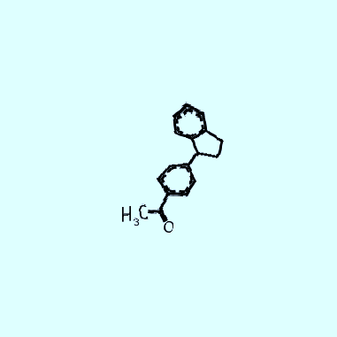 CC(=O)c1ccc(C2CCc3ccccc32)cc1